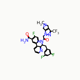 CN1Cc2c(C(F)(F)F)nn(CC(=O)NC(Cc3cc(F)cc(F)c3)c3ncccc3-c3ccc(F)c(C(N)=O)c3)c2C1